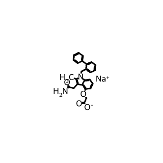 Cc1c(CC(N)=O)c2c(OCC(=O)[O-])cccc2n1Cc1ccccc1-c1ccccc1.[Na+]